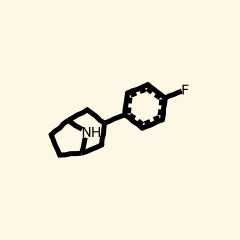 Fc1ccc(C2CC3CCC(C2)N3)cc1